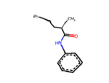 CC(C)CCC(C)C(=O)Nc1ccccc1